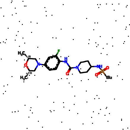 C[C@@H]1CN(c2ccc(NC(=O)N3CCC(NS(=O)(=O)C(C)(C)C)CC3)c(F)c2)C[C@H](C)O1